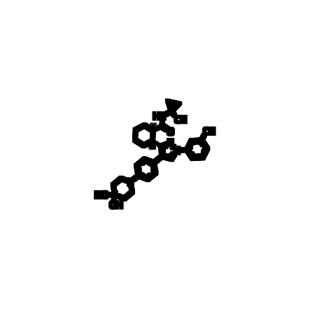 N#Cc1cccc(-n2cc(-c3ccc(N4CCS(O)(O)CC4)cc3)c([C@@H]3CCCC[C@H]3C(=O)NC3(C#N)CC3)n2)c1